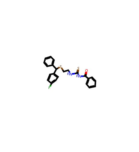 O=C(NC(=S)NCCSC(c1ccccc1)c1ccc(F)cc1)c1ccccc1